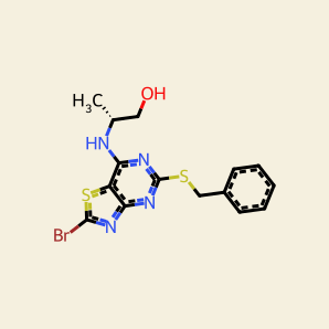 C[C@H](CO)Nc1nc(SCc2ccccc2)nc2nc(Br)sc12